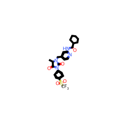 CC1C(=O)N(c2ccc(S(=O)(=O)C(F)(F)F)cc2)C(=O)N1Cc1ccnc(NC(=O)C2CCCCC2)c1